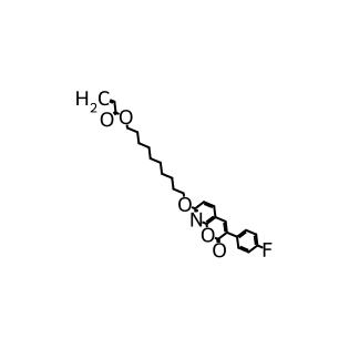 C=CC(=O)OCCCCCCCCCCOc1ccc2cc(-c3ccc(F)cc3)c(=O)oc2n1